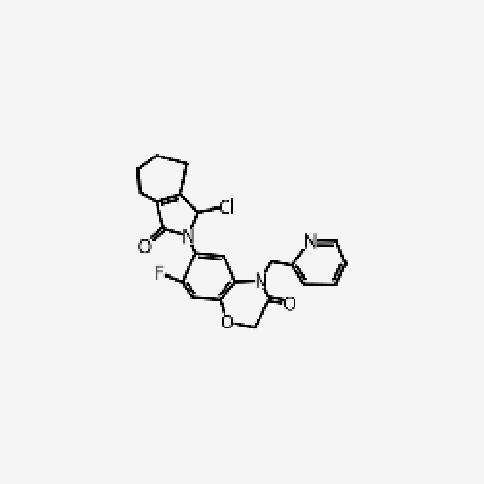 O=C1COc2cc(F)c(N3C(=O)C4=C(CCCC4)C3Cl)cc2N1Cc1ccccn1